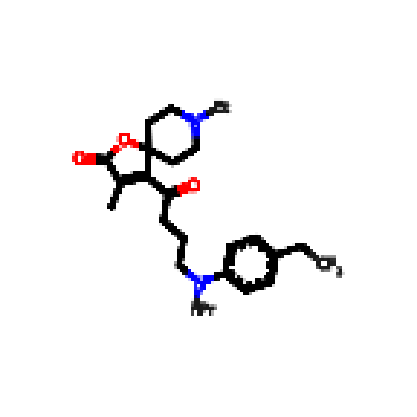 CCCN(CCCC(=O)C1=C(C)C(=O)OC12CCN(CC)CC2)c1ccc(CC(F)(F)F)cc1